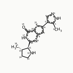 Cc1[nH]ncc1-c1cc2nc([C@H]3NCC[C@@H]3C)[nH]c(=O)c2s1